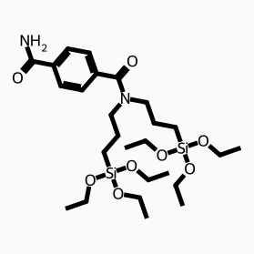 CCO[Si](CCCN(CCC[Si](OCC)(OCC)OCC)C(=O)c1ccc(C(N)=O)cc1)(OCC)OCC